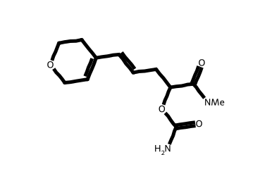 CNC(=O)C(CC=CC1=CCOCC1)OC(N)=O